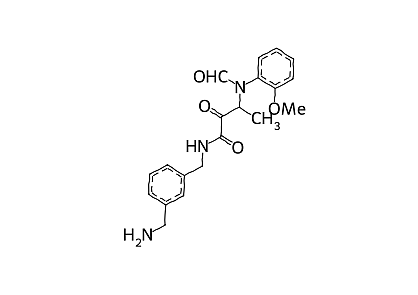 COc1ccccc1N(C=O)C(C)C(=O)C(=O)NCc1cccc(CN)c1